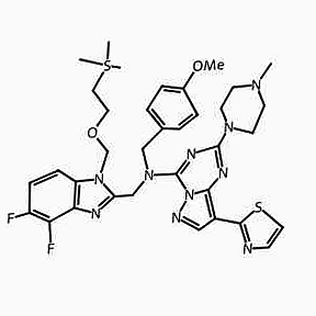 COc1ccc(CN(Cc2nc3c(F)c(F)ccc3n2COCCS(C)(C)C)c2nc(N3CCN(C)CC3)nc3c(-c4nccs4)cnn23)cc1